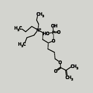 C=C(C)C(=O)OCCCC(CC[N+](CCC)(CCC)CCC)OP(=O)(O)O